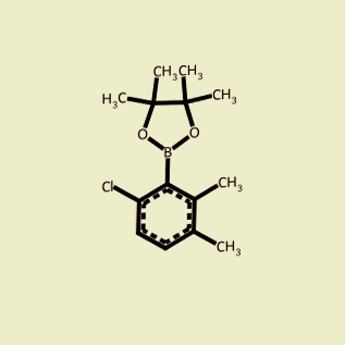 Cc1ccc(Cl)c(B2OC(C)(C)C(C)(C)O2)c1C